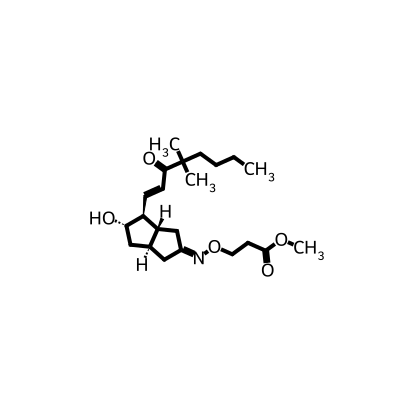 CCCCC(C)(C)C(=O)C=C[C@H]1[C@@H]2C/C(=N\OCCC(=O)OC)C[C@H]2C[C@@H]1O